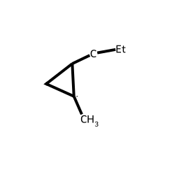 CCCC1C[C]1C